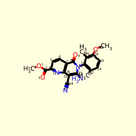 COC(=O)c1ccc2c(=O)n(-c3c(C)ccc(OC)c3C)c(N)c(C#N)c2n1